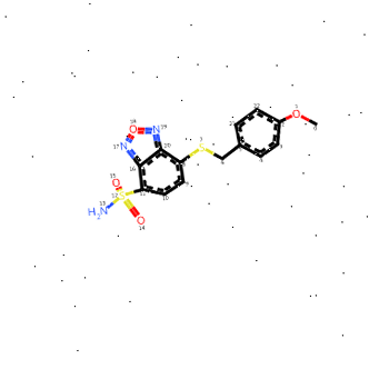 COc1ccc(CSc2ccc(S(N)(=O)=O)c3nonc23)cc1